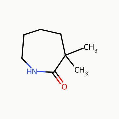 CC1(C)CCCCNC1=O